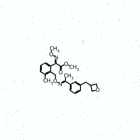 CO/N=C(/C(=O)OC)c1cccc(C)c1CO/N=C(\C)c1cccc(CC2COC2)c1